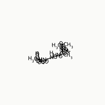 CCC1C(=O)N(C)c2cnc(Nc3ccc(C(=O)NCCOCCNCCCCC(=O)Nc4cccc5c4CN(C(CCC=O)C(=O)NC)C5=O)cc3OC)nc2N1Cc1ccc(Br)cc1